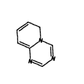 C1=CCN2C=NC=NC2=C1